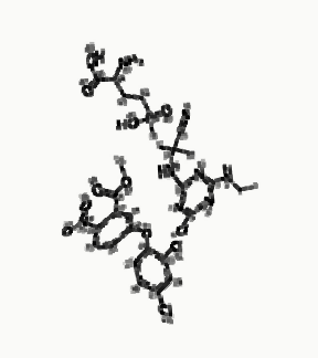 CCNc1nc(Cl)nc(NC(C)(C)C#N)n1.COC(=O)c1cc(Oc2ccc(Cl)cc2Cl)ccc1[N+](=O)[O-].CP(=O)(O)CCC(N)C(=O)O